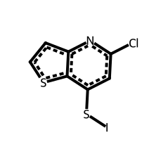 Clc1cc(SI)c2sccc2n1